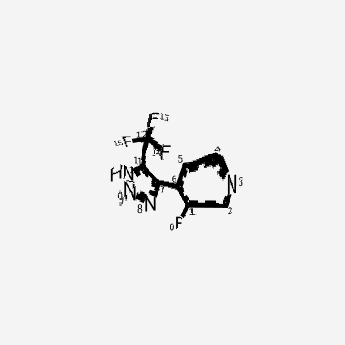 Fc1cnccc1-c1nn[nH]c1C(F)(F)F